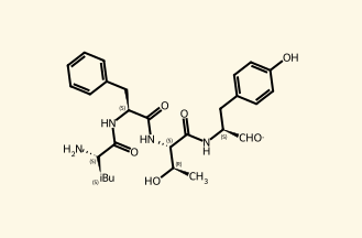 CC[C@H](C)[C@H](N)C(=O)N[C@@H](Cc1ccccc1)C(=O)N[C@H](C(=O)N[C@H]([C]=O)Cc1ccc(O)cc1)[C@@H](C)O